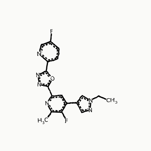 CCn1cc(-c2cc(-c3nnc(-c4ccc(F)cn4)o3)nc(C)c2F)cn1